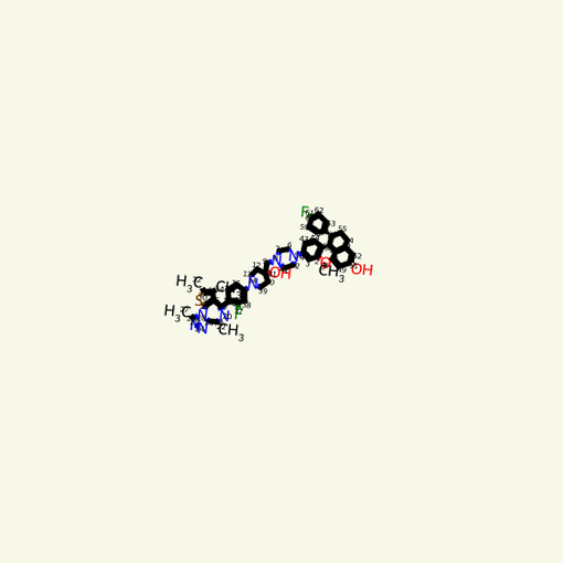 COc1cc(N2CCN(CC3(O)CCN(c4ccc(C5=N[C@@H](C)c6nnc(C)n6-c6sc(C)c(C)c65)c(F)c4)CC3)CC2)ccc1[C@@H]1c2ccc(O)cc2CC[C@@H]1c1ccc(F)cc1